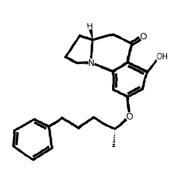 C[C@H](CCCc1ccccc1)Oc1cc(O)c2c(c1)N1CCC[C@@H]1CC2=O